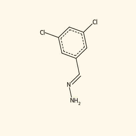 N/N=C/c1cc(Cl)cc(Cl)c1